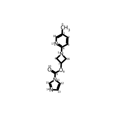 Cc1ccc(N2CC(OC(=O)n3ccnc3)C2)nc1